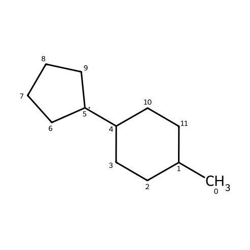 CC1CCC([C]2CCCC2)CC1